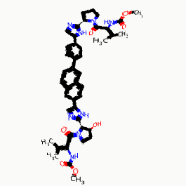 COC(=O)N[C@H](C(=O)N1CC[C@H](O)[C@H]1c1ncc(-c2ccc3cc(-c4ccc(-c5cnc([C@@H]6CCCN6C(=O)[C@@H](NC(=O)OC)C(C)C)[nH]5)cc4)ccc3c2)[nH]1)C(C)C